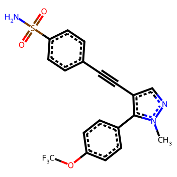 Cn1ncc(C#Cc2ccc(S(N)(=O)=O)cc2)c1-c1ccc(OC(F)(F)F)cc1